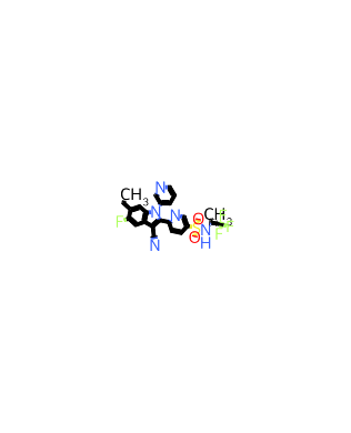 CCc1cc2c(cc1F)c(C#N)c(-c1ccc(S(=O)(=O)N[C@@H](C)C(F)(F)F)cn1)n2-c1cccnc1